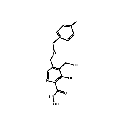 O=C(NO)c1ncc(COCc2ccc(F)cc2)c(CO)c1O